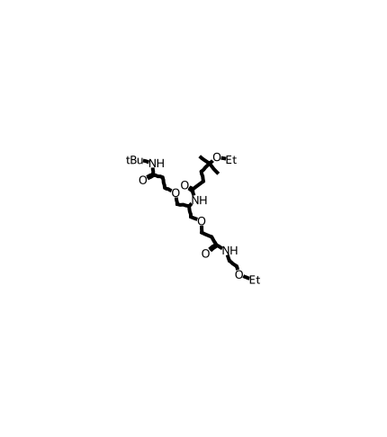 CCOCCNC(=O)CCOCC(COCCC(=O)NC(C)(C)C)NC(=O)CCC(C)(C)OCC